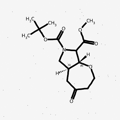 COC(=O)C1[C@@H]2OCCC(=O)C[C@H]2CN1C(=O)OC(C)(C)C